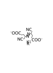 N#CCC(CCC(=O)[O-])N=NC(CC#N)CCC(=O)[O-].[K+].[K+]